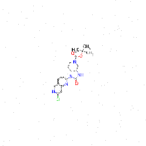 CC(C)(C)OC(=O)N1CCC2C(C1)NC(=O)N2c1ccc2cnc(Cl)cc2n1